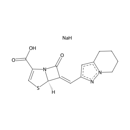 O=C(O)C1=CS[C@@H]2C(=Cc3cc4n(n3)CCCC4)C(=O)N12.[NaH]